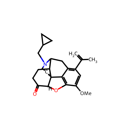 C=C(C)c1cc(OC)c2c3c1CC1C4CCC(=O)[C@@H](O2)[C@@]34CCN1CC1CC1